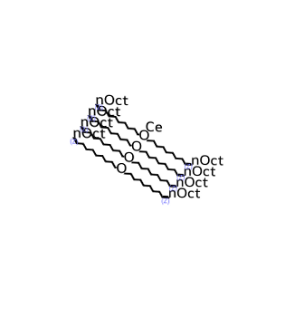 CCCCCCCC/C=C\CCCCCCCCOCCCCCCCC/C=C\CCCCCCCC.CCCCCCCC/C=C\CCCCCCCCOCCCCCCCC/C=C\CCCCCCCC.CCCCCCCC/C=C\CCCCCCCCOCCCCCCCC/C=C\CCCCCCCC.CCCCCCCC/C=C\CCCCCCCCOCCCCCCCC/C=C\CCCCCCCC.[Ce]